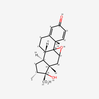 C[C@@H]1C[C@H]2[C@@H]3CCC4=CC(=O)C=C[C@]4(C)C34OC4C[C@]2(C)[C@@]1(O)C(=O)O